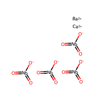 [Ba+2].[Ca+2].[O]=[Nb](=[O])[O-].[O]=[Nb](=[O])[O-].[O]=[Nb](=[O])[O-].[O]=[Nb](=[O])[O-]